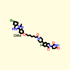 COc1cc2c(N[C@H](C)c3cccc(Br)c3)nc(C)nc2cc1OCCCCCCC(=O)N1CCC(c2cc3c(cc2F)C(=O)N(C2CCC(=O)NC2=O)C3)CC1